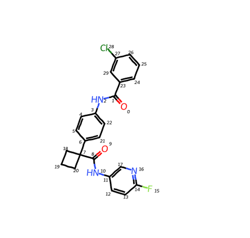 O=C(Nc1ccc(C2(C(=O)Nc3ccc(F)nc3)CCC2)cc1)c1cccc(Cl)c1